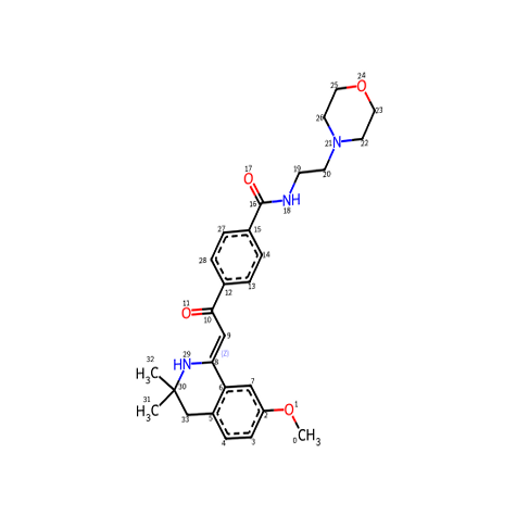 COc1ccc2c(c1)/C(=C/C(=O)c1ccc(C(=O)NCCN3CCOCC3)cc1)NC(C)(C)C2